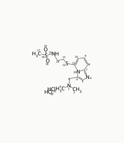 CN(C)Cc1cnc2cccc(SCCNS(C)(=O)=O)n12.Cl.Cl